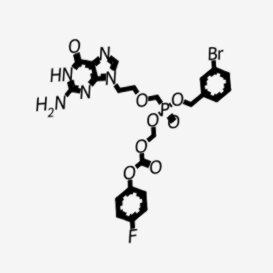 Nc1nc2c(ncn2CCOCP(=O)(OCOC(=O)Oc2ccc(F)cc2)OCc2cccc(Br)c2)c(=O)[nH]1